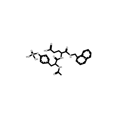 CC(=O)NC(Cc1ccc(OP(=O)(O)O)cc1)C(=O)NC(CCC(=O)O)C(=O)NCc1cccc2ccccc12